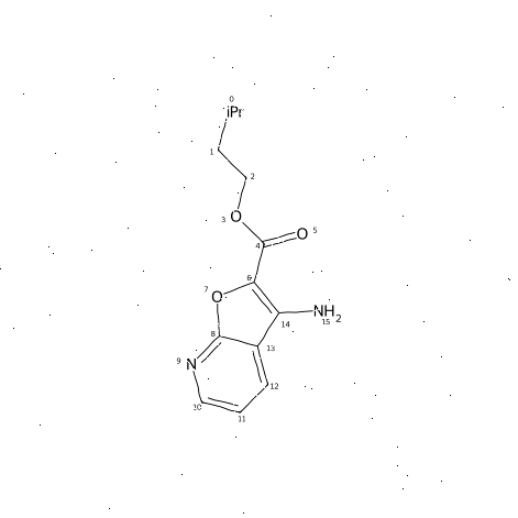 CC(C)CCOC(=O)c1oc2ncccc2c1N